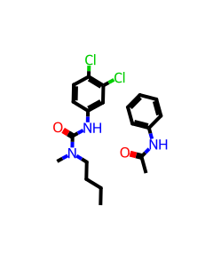 CC(=O)Nc1ccccc1.CCCCN(C)C(=O)Nc1ccc(Cl)c(Cl)c1